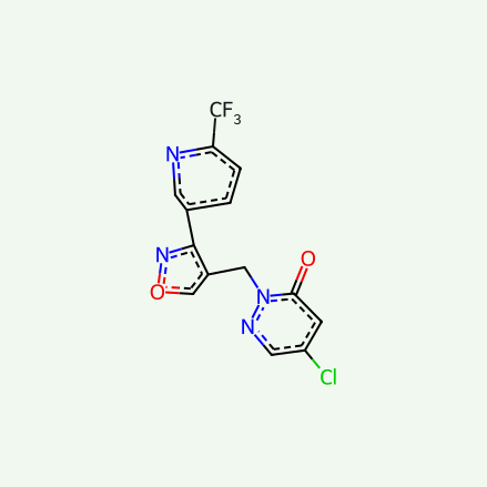 O=c1cc(Cl)cnn1Cc1conc1-c1ccc(C(F)(F)F)nc1